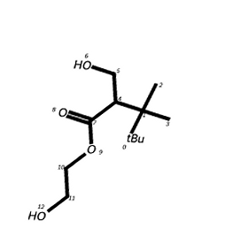 CC(C)(C)C(C)(C)C(CO)C(=O)OCCO